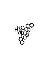 O=c1oc2c(ccc3ccccc32)c(O)c1C1c2c(c3ccc4ccccc4c3oc2=O)OC1O